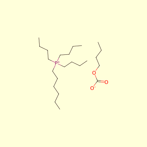 CCCCCC[P+](CCCC)(CCCC)CCCC.CCCCOC(=O)[O-]